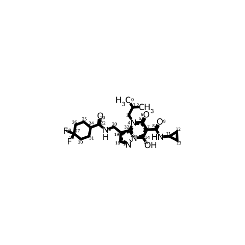 CC(C)Cn1c(=O)c(C(=O)NC2CC2)c(O)n2ncc(CNC(=O)C3CCC(F)(F)CC3)c12